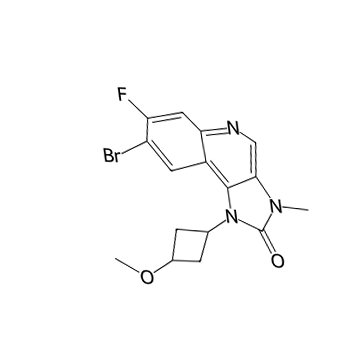 COC1CC(n2c(=O)n(C)c3cnc4cc(F)c(Br)cc4c32)C1